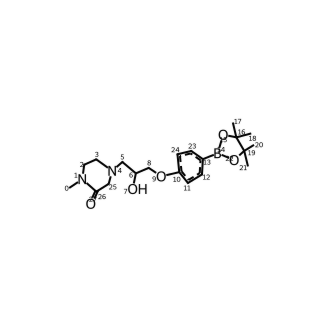 CN1CCN(CC(O)COc2ccc(B3OC(C)(C)C(C)(C)O3)cc2)CC1=O